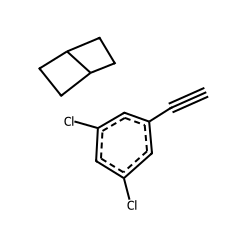 C#Cc1cc(Cl)cc(Cl)c1.C1CC2CCC12